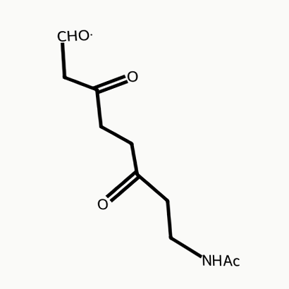 CC(=O)NCCC(=O)CCC(=O)C[C]=O